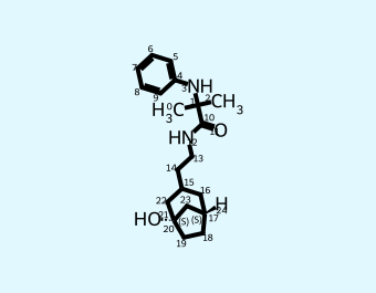 CC(C)(Nc1ccccc1)C(=O)NCCC1C[C@@H]2CC[C@@](O)(C1)C2